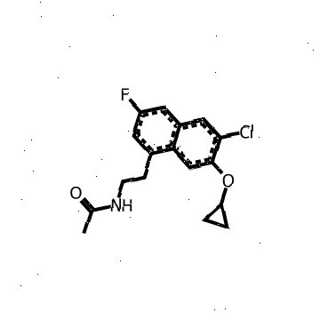 CC(=O)NCCc1cc(F)cc2cc(Cl)c(OC3CC3)cc12